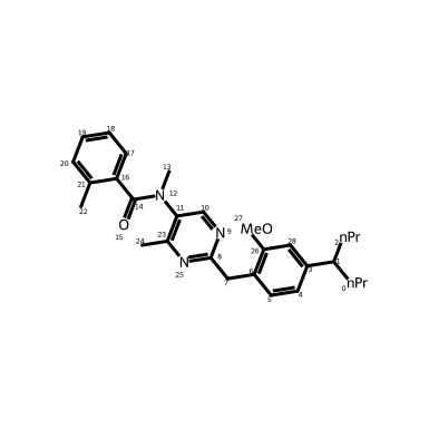 CCCC(CCC)c1ccc(Cc2ncc(N(C)C(=O)c3ccccc3C)c(C)n2)c(OC)c1